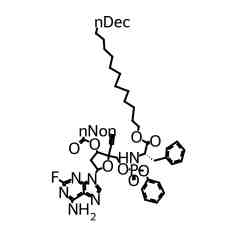 C#CC1(COP(=O)(N[C@@H](Cc2ccccc2)C(=O)OCCCCCCCCCCCCCCCCCCCCCC)Oc2ccccc2)OC(n2cnc3c(N)nc(F)nc32)CC1OC(=O)CCCCCCCCC